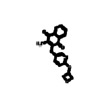 CC1=C(Cc2ccc(OC3COC3)nc2)C(=O)c2ccccc2C1=O